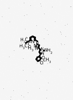 CCC(C)(C)c1cccc(Cn2cc(-c3cc(-c4cccc(Cl)c4OC)nc(N)n3)nn2)n1